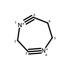 C1#[N+]CC#[N+]CC1